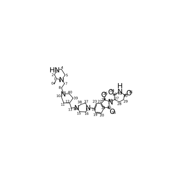 C[C@H]1CNCCN1CCN1CCC(CN2CCN(c3ccc4c(c3)C(=O)N(C3CCC(=O)NC3=O)C4=O)CC2)CC1